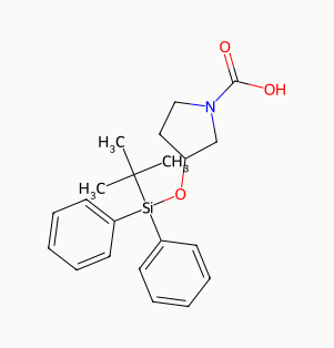 CC(C)(C)[Si](OC1CCN(C(=O)O)C1)(c1ccccc1)c1ccccc1